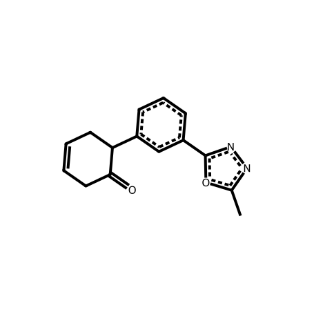 Cc1nnc(-c2cccc(C3CC=CCC3=O)c2)o1